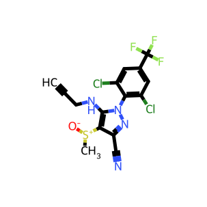 C#CCNc1c([S+](C)[O-])c(C#N)nn1-c1c(Cl)cc(C(F)(F)F)cc1Cl